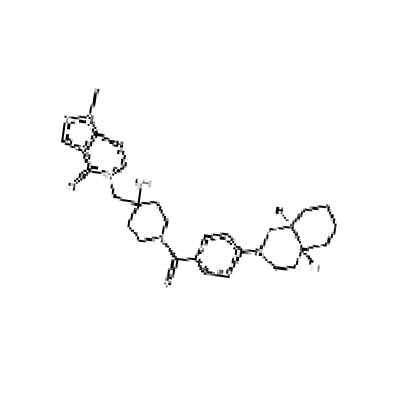 Cn1ncc2c(=O)n(CC3(O)CCN(C(=O)c4ccc(N5CC[C@H]6CCCC[C@@H]6C5)cc4)CC3)cnc21